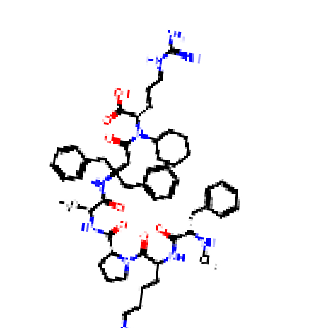 CN[C@@H](Cc1ccccc1)C(=O)N[C@@H](CCCCN)C(=O)N1CCC[C@H]1C(=O)N[C@@H](C)C(=O)NC(CC(=O)N(C1CCCCC1)[C@H](CCCNC(=N)N)C(=O)O)(Cc1ccccc1)Cc1ccccc1